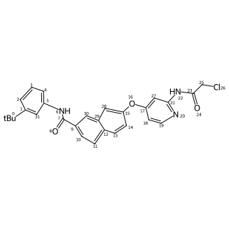 CC(C)(C)c1cccc(NC(=O)c2ccc3ccc(Oc4ccnc(NC(=O)CCl)c4)cc3c2)c1